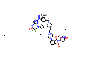 COc1cc(C(=O)N2CCC(CCN3CCN(c4cccc5c4C(=O)N(C4CCC(=O)NC4=O)C5=O)CC3)CC2)ccc1Nc1ncc2c(n1)N(C1CCCC1)CC(F)(F)C(=O)N2C